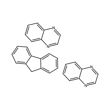 c1ccc2c(c1)Cc1ccccc1-2.c1ccc2nccnc2c1.c1ccc2nccnc2c1